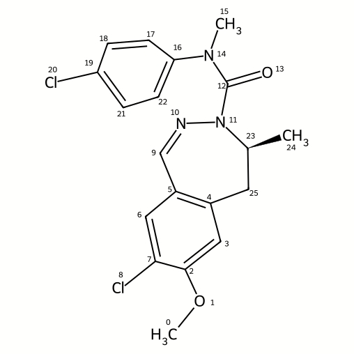 COc1cc2c(cc1Cl)C=NN(C(=O)N(C)c1ccc(Cl)cc1)[C@@H](C)C2